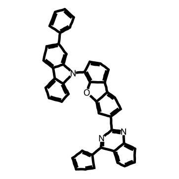 c1ccc(-c2ccc3c4ccccc4n(-c4cccc5c4oc4cc(-c6nc(-c7ccccc7)c7ccccc7n6)ccc45)c3c2)cc1